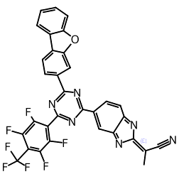 C/C(C#N)=C1/N=c2ccc(-c3nc(-c4ccc5c(c4)oc4ccccc45)nc(-c4c(F)c(F)c(C(F)(F)F)c(F)c4F)n3)cc2=N1